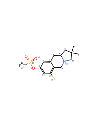 CC1(C)CC2Cc3cc(OS(=O)(=O)C(F)(F)F)cc(F)c3CN2C1